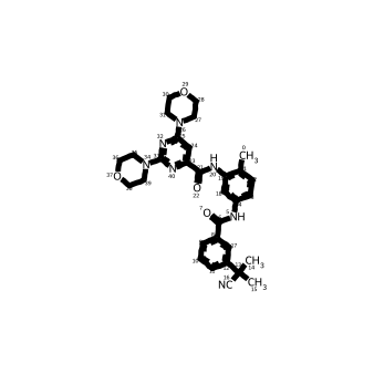 Cc1ccc(NC(=O)c2cccc(C(C)(C)C#N)c2)cc1NC(=O)c1cc(N2CCOCC2)nc(N2CCOCC2)n1